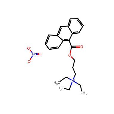 CC[N+](CC)(CC)CCCOC(=O)c1c2ccccc2cc2ccccc12.O=[N+]([O-])[O-]